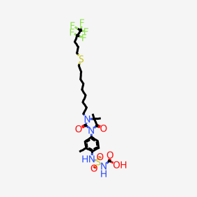 Cc1cc(N2C(=O)N(CCCCCCCCCSCCCC(F)(F)C(F)(F)F)C(C)(C)C2=O)ccc1NS(=O)(=O)NC(=O)O